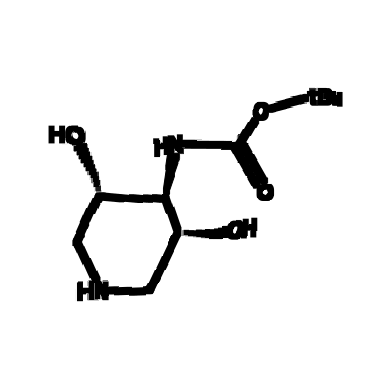 CC(C)(C)OC(=O)N[C@H]1[C@H](O)CNC[C@@H]1O